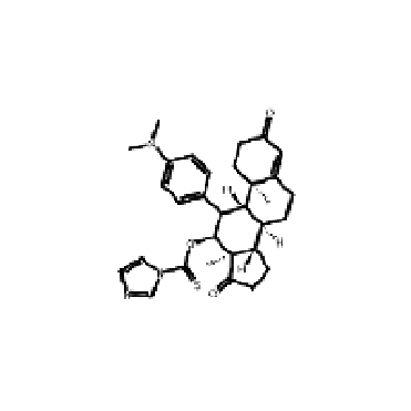 CN(C)c1ccc(C2[C@H](OC(=S)n3ccnc3)[C@]3(C)C(=O)CC[C@H]3[C@@H]3CCC4=CC(=O)CC[C@]4(C)[C@@H]23)cc1